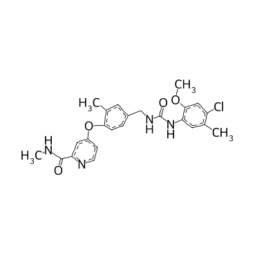 CNC(=O)c1cc(Oc2ccc(CNC(=O)Nc3cc(C)c(Cl)cc3OC)cc2C)ccn1